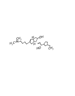 CCC1CCC([C@H](O)/C=C/[C@@H]2[C@H]3CC(CCCCCN(C)C)=C[C@H]3C[C@H]2O)C1